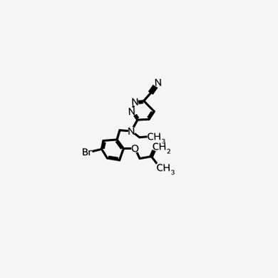 C=C(C)COc1ccc(Br)cc1CN(CC)c1ccc(C#N)nn1